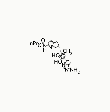 CCCOC(=O)Nc1ccc2ccc(CC[C@@]3(C)C[C@@H](c4ccc5c(N)ncnn45)[C@H](O)[C@@H]3O)cc2n1